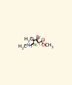 C=N/C=c1/sc(C(=O)OC)c(Br)c1=C